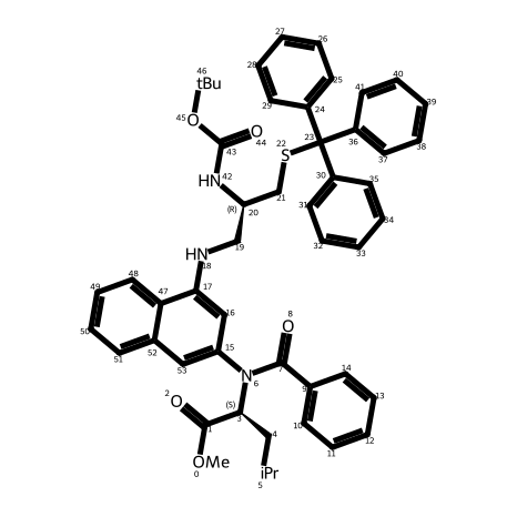 COC(=O)[C@H](CC(C)C)N(C(=O)c1ccccc1)c1cc(NC[C@H](CSC(c2ccccc2)(c2ccccc2)c2ccccc2)NC(=O)OC(C)(C)C)c2ccccc2c1